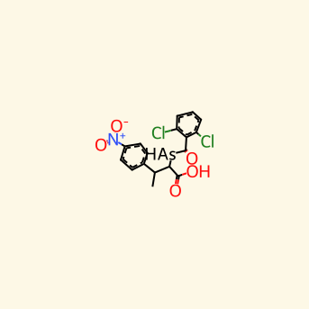 CC(c1ccc([N+](=O)[O-])cc1)C([AsH]C(=O)c1c(Cl)cccc1Cl)C(=O)O